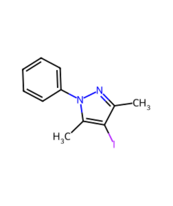 Cc1nn(-c2ccccc2)c(C)c1I